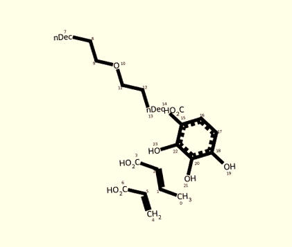 C/C=C/C(=O)O.C=CC(=O)O.CCCCCCCCCCCCOCCCCCCCCCCCC.O=C(O)c1ccc(O)c(O)c1O